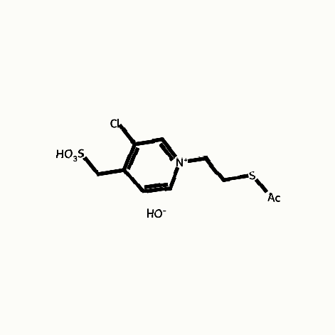 CC(=O)SCC[n+]1ccc(CS(=O)(=O)O)c(Cl)c1.[OH-]